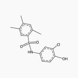 Cc1cc(C)c(S(=O)(=O)Nc2ccc(O)c(Cl)c2)cc1C